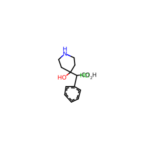 Cl.O=C(O)C(c1ccccc1)C1(O)CCNCC1